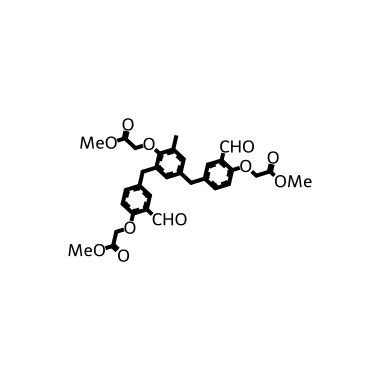 COC(=O)COc1ccc(Cc2cc(C)c(OCC(=O)OC)c(Cc3ccc(OCC(=O)OC)c(C=O)c3)c2)cc1C=O